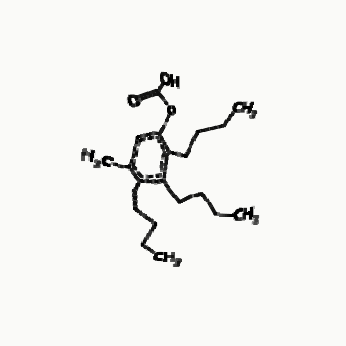 CCCCc1c(C)cc(OC(=O)O)c(CCCC)c1CCCC